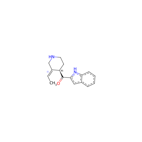 C/C=C1/CNCC[C@H]1C(=O)c1cc2ccccc2[nH]1